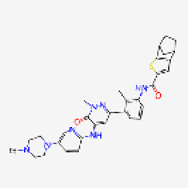 CCN1CCN(c2ccc(Nc3cc(-c4cccc(NC(=O)c5cc6c(s5)C5CCC6C5)c4C)nn(C)c3=O)nc2)CC1